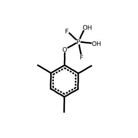 Cc1cc(C)c(OP(O)(O)(F)F)c(C)c1